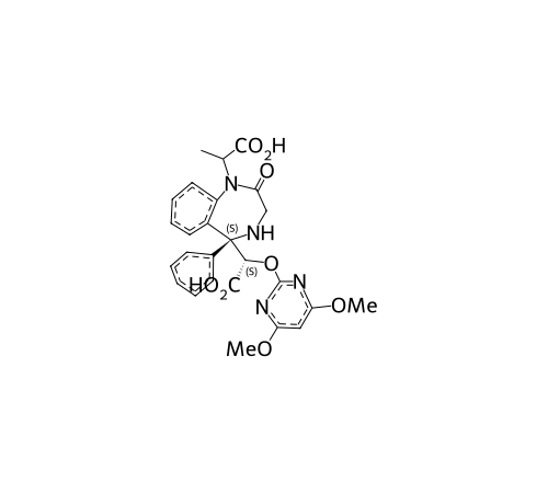 COc1cc(OC)nc(O[C@H](C(=O)O)[C@@]2(c3ccccc3)NCC(=O)N(C(C)C(=O)O)c3ccccc32)n1